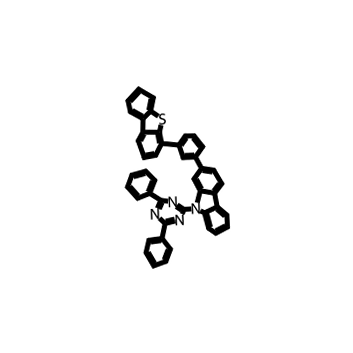 c1ccc(-c2nc(-c3ccccc3)nc(-n3c4ccccc4c4ccc(-c5cccc(-c6cccc7c6sc6ccccc67)c5)cc43)n2)cc1